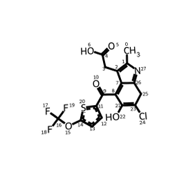 CC1=C(CC(=O)O)C2=C(C(=O)c3ccc(OC(F)(F)F)s3)C(O)=C(Cl)CC2=N1